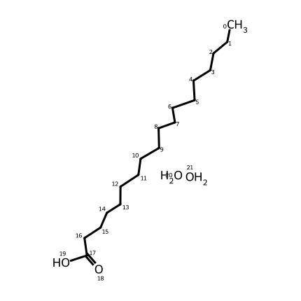 CCCCCCCCCCCCCCCCCC(=O)O.O.O